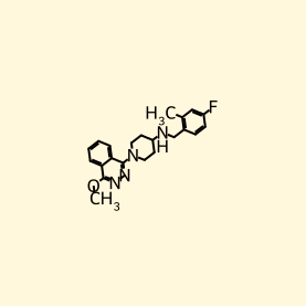 COc1nnc(N2CCC(NCc3ccc(F)cc3C)CC2)c2ccccc12